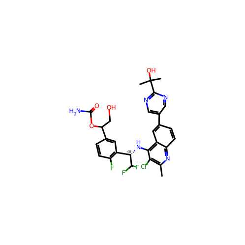 Cc1nc2ccc(-c3cnc(C(C)(C)O)nc3)cc2c(N[C@@H](c2cc(C(CO)OC(N)=O)ccc2F)C(F)F)c1Cl